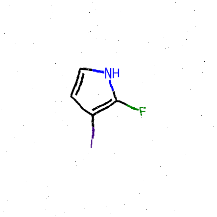 Fc1[nH]ccc1I